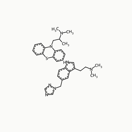 CC(CN1c2ccccc2Sc2ccccc21)N(C)C.CN(C)CCc1c[nH]c2ccc(Cn3cncn3)cc12